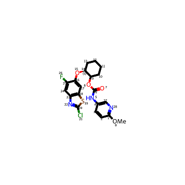 COc1ccc(NC(=O)OC2CCCC[C@@H]2Oc2cc3sc(Cl)nc3cc2F)cn1